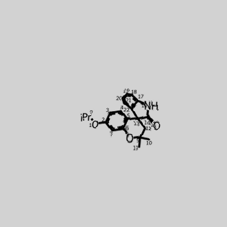 CC(C)Oc1ccc2c(c1)OC(C)(C)CC21C(=O)Nc2ccccc21